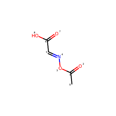 CC(=O)ON=CC(=O)O